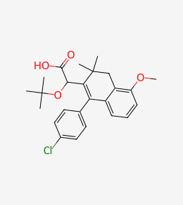 COc1cccc2c1CC(C)(C)C(C(OC(C)(C)C)C(=O)O)=C2c1ccc(Cl)cc1